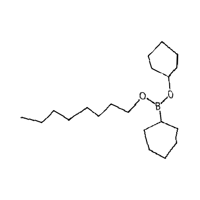 CCCCCCCCOB(OC1CCCCC1)C1CCCCC1